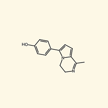 CC1=NCCn2c1ccc2-c1ccc(O)cc1